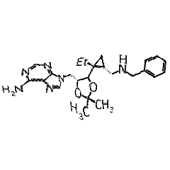 CC[C@@]1(C2OC(C)(C)O[C@@H]2Cn2cnc3c(N)ncnc32)C[C@@H]1CNCc1ccccc1